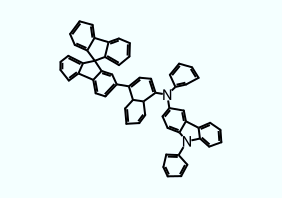 C1=CC2C(c3ccc4c(c3)C3(c5ccccc5-c5ccccc53)c3ccccc3-4)=CC=C(N(c3ccccc3)c3ccc4c(c3)c3ccccc3n4-c3ccccc3)C2C=C1